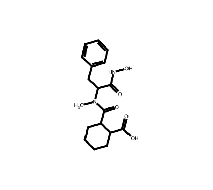 CN(C(=O)C1CCCCC1C(=O)O)C(Cc1ccccc1)C(=O)NO